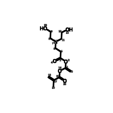 C=C(OC(=O)CCN(CCO)CCO)OC(=O)C(=C)C